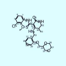 COc1c(Cl)cccc1NC(=S)C1=C(NCc2ccncc2OCC2COCCO2)C(C)CNC1=O